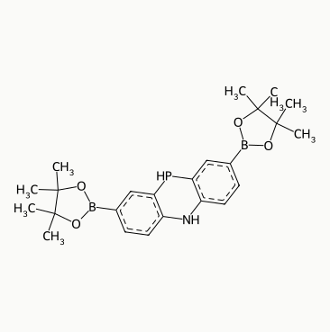 CC1(C)OB(c2ccc3c(c2)Pc2cc(B4OC(C)(C)C(C)(C)O4)ccc2N3)OC1(C)C